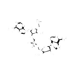 COC1C(O)[C@H](n2cnc3c(N)ncnc32)O[C@@H]1COP(=O)(O)COC1C(O)[C@@H](CO)O[C@H]1n1cnc2c(N)ncnc21